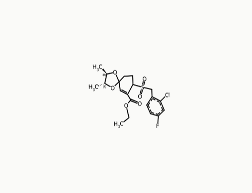 CCOC(=O)C1=CC2(CCC1S(=O)(=O)Cc1ccc(F)cc1Cl)O[C@H](C)[C@@H](C)O2